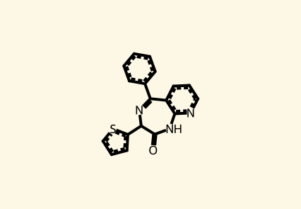 O=C1Nc2ncccc2C(c2ccccc2)=NC1c1cccs1